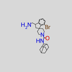 NCC1CC2(CCN(C(=O)NC3C4CC5CC(C4)CC3C5)CC2)c2c(Br)cccc21